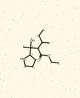 CCOC(=O)C(C(C)CC)C(C)(O)C1CCCN1